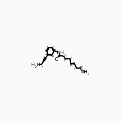 NCC#Cc1cccc(NC(=O)CCCCCCCN)c1